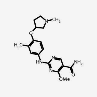 COc1nc(Nc2ccc(OC3CCN(C)C3)c(C)c2)ncc1C(N)=O